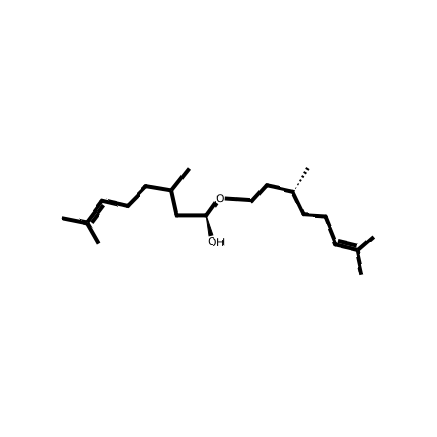 CC(C)=CCCC(C)C[C@H](O)OCC[C@H](C)CCC=C(C)C